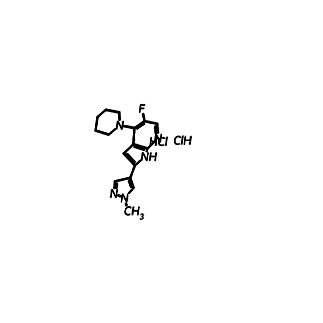 Cl.Cl.Cn1cc(-c2cc3c(N4CCCCC4)c(F)cnc3[nH]2)cn1